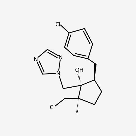 C[C@@]1(CCl)CC[C@H](Cc2ccc(Cl)cc2)[C@]1(O)Cn1cncn1